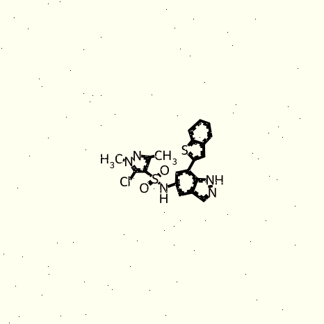 Cc1nn(C)c(Cl)c1S(=O)(=O)Nc1cc(-c2cc3ccccc3s2)c2[nH]ncc2c1